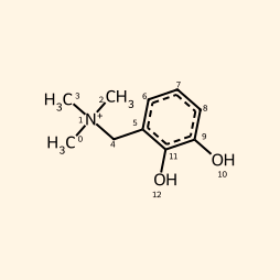 C[N+](C)(C)Cc1cccc(O)c1O